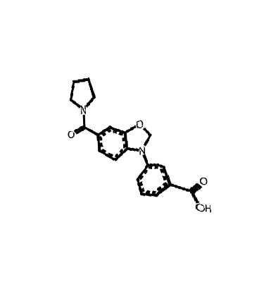 O=C(O)c1cccc(N2COc3cc(C(=O)N4CCCC4)ccc32)c1